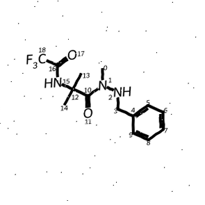 CN(NCc1ccccc1)C(=O)C(C)(C)NC(=O)C(F)(F)F